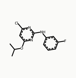 CC(C)Oc1cc(Cl)nc(Nc2cccc(F)c2)n1